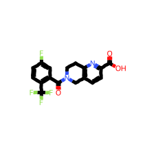 O=C(O)c1ccc2c(n1)CCN(C(=O)c1cc(F)ccc1C(F)(F)F)C2